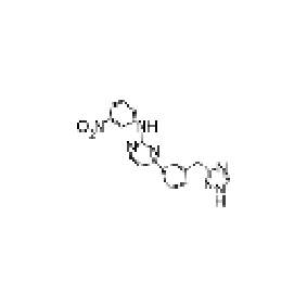 O=[N+]([O-])c1cccc(Nc2nccc(-c3cccc(Cc4nc[nH]n4)c3)n2)c1